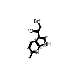 Cc1ccc2c(C(=O)CBr)c[nH]c2n1